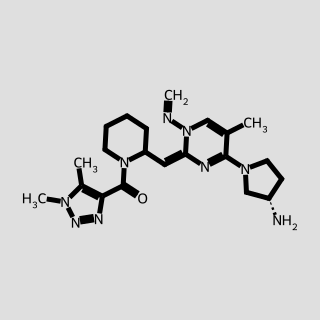 C=NN1C=C(C)C(N2CC[C@H](N)C2)=N/C1=C/C1CCCCN1C(=O)c1nnn(C)c1C